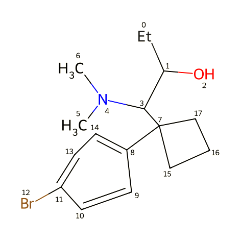 CCC(O)C(N(C)C)C1(c2ccc(Br)cc2)CCC1